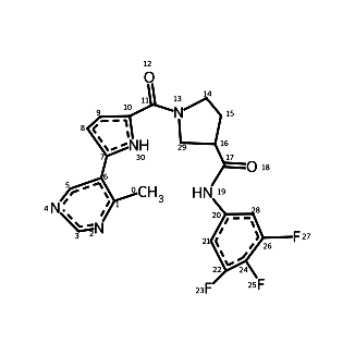 Cc1ncncc1-c1ccc(C(=O)N2CCC(C(=O)Nc3cc(F)c(F)c(F)c3)C2)[nH]1